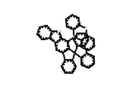 c1ccc2c(c1)Oc1ccccc1N2c1c2c(cc3c1oc1ccccc13)-c1ccccc1C21c2ccccc2-c2ccccc21